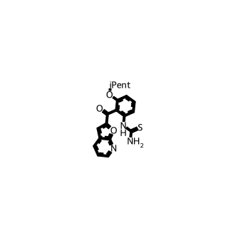 CCCC(C)Oc1cccc(NC(N)=S)c1C(=O)c1cc2cccnc2o1